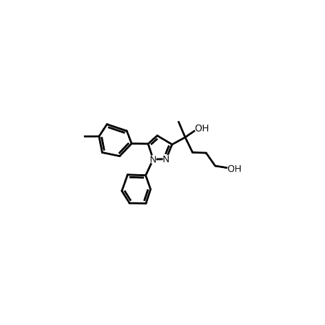 Cc1ccc(-c2cc(C(C)(O)CCCO)nn2-c2ccccc2)cc1